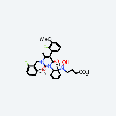 CC[C@@]1(N(O)CCCC(=O)O)C=CC=CC1n1c(=O)c(-c2cccc(OC)c2F)c(C)n(Cc2c(F)cccc2C(F)(F)F)c1=O